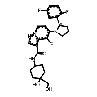 O=C(NC1CCC(O)(CO)CC1)c1cnn2ccc(N3CCC[C@@H]3c3cc(F)ccc3F)c(F)c12